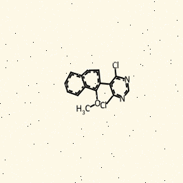 COc1c(-c2c(Cl)ncnc2Cl)ccc2ccccc12